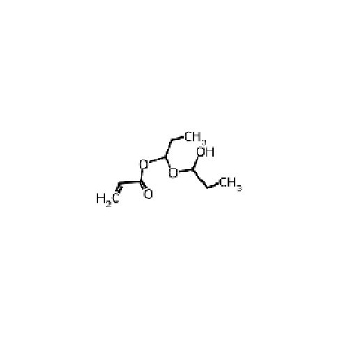 C=CC(=O)OC(CC)OC(O)CC